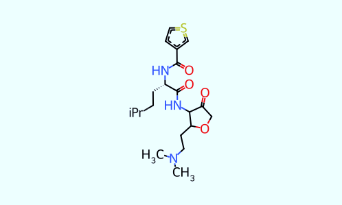 CC(C)CC[C@H](NC(=O)c1ccsc1)C(=O)NC1C(=O)COC1CCN(C)C